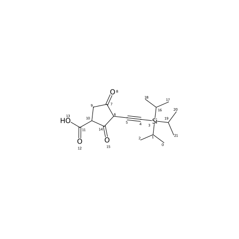 CC(C)[Si](C#CC1C(=O)CC(C(=O)O)C1=O)(C(C)C)C(C)C